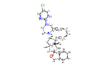 C[C@@]12C[C@H](N3CCN(c4ncc(F)cn4)CC3)C[C@]1(C)C[C@@]1(C2)OCc2ccccc21.O=C(O)/C=C\C(=O)O